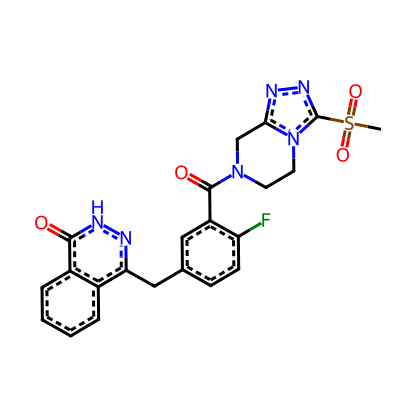 CS(=O)(=O)c1nnc2n1CCN(C(=O)c1cc(Cc3n[nH]c(=O)c4ccccc34)ccc1F)C2